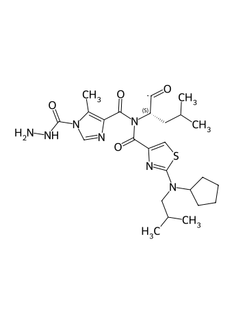 Cc1c(C(=O)N(C(=O)c2csc(N(CC(C)C)C3CCCC3)n2)[C@H]([C]=O)CC(C)C)ncn1C(=O)NN